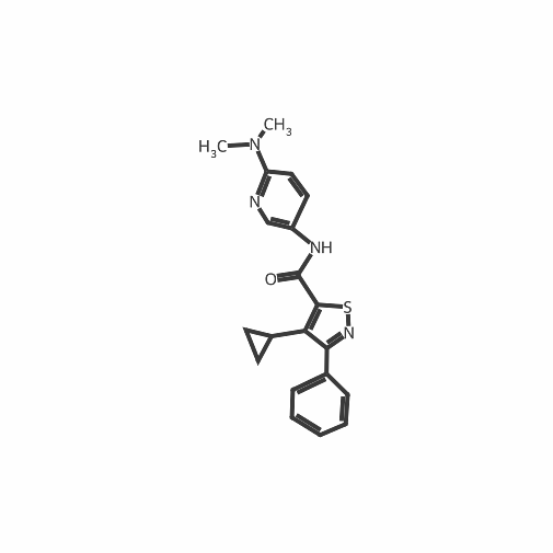 CN(C)c1ccc(NC(=O)c2snc(-c3ccccc3)c2C2CC2)cn1